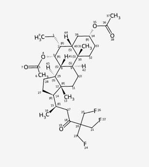 CC[C@H]1[C@@H](OC(C)=O)[C@@H]2[C@H](CC[C@]3(C)[C@@H]([C@H](C)CC(=O)C(CF)(CF)CF)CC[C@@H]23)[C@@]2(C)CC[C@@H](OC(C)=O)C[C@@H]12